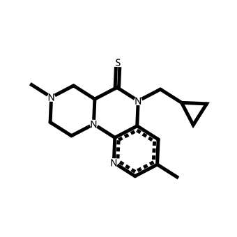 Cc1cnc2c(c1)N(CC1CC1)C(=S)C1CN(C)CCN21